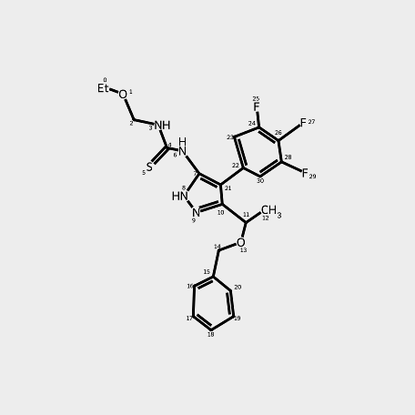 CCOCNC(=S)Nc1[nH]nc(C(C)OCc2ccccc2)c1-c1cc(F)c(F)c(F)c1